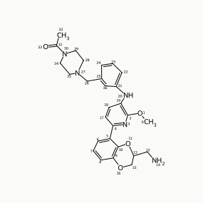 COc1nc(-c2cccc3c2OC(CN)CO3)ccc1Nc1cccc(CN2CCN(C(C)=O)CC2)c1